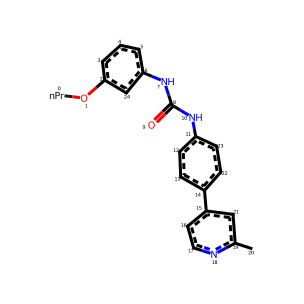 CCCOc1cccc(NC(=O)Nc2ccc(-c3ccnc(C)c3)cc2)c1